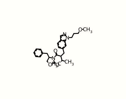 COCCCn1ncc2ccc(CC(C(=O)N3C(=O)OCC3Cc3ccccc3)C(C)C)cc21